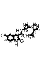 C[C@@H](Nc1ncc(-n2nncc2C2CC2)s1)c1cc2cc(Cl)ccc2[nH]c1=O